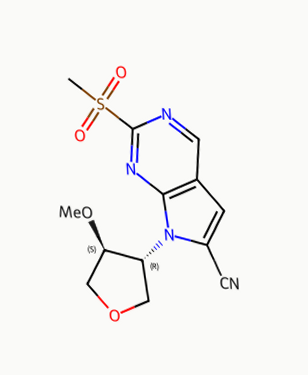 CO[C@@H]1COC[C@H]1n1c(C#N)cc2cnc(S(C)(=O)=O)nc21